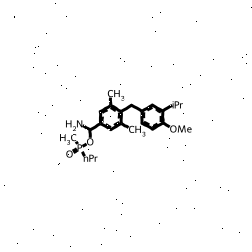 CCCP(C)(=O)OC(N)c1cc(C)c(Cc2ccc(OC)c(C(C)C)c2)c(C)c1